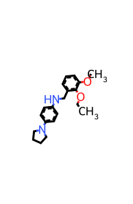 CCOc1c(CNc2ccc(N3CCCC3)cc2)cccc1OC